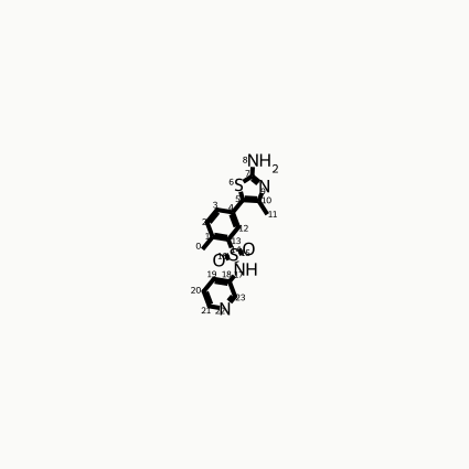 Cc1ccc(-c2sc(N)nc2C)cc1S(=O)(=O)Nc1cccnc1